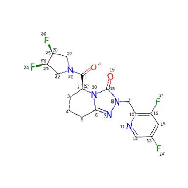 O=C([C@@H]1CCCc2nn(Cc3ncc(F)cc3F)c(=O)n21)N1C[C@@H](F)[C@@H](F)C1